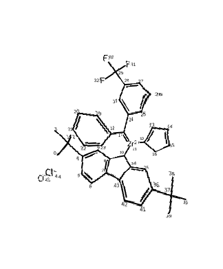 CC(C)(C)c1ccc2c(c1)[CH](/[Zr+2]([C]1=CC=CC1)=[C](\c1ccccc1)c1cccc(C(F)(F)F)c1)c1cc(C(C)(C)C)ccc1-2.[Cl-].[Cl-]